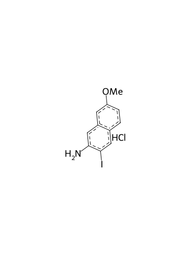 COc1ccc2cc(I)c(N)cc2c1.Cl